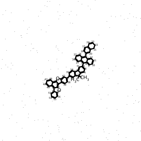 CC1(C)c2ccc(-c3c4ccccc4c(-c4ccc5c(c4)CCC=C5)c4ccccc34)cc2-c2ccc(-c3ccc4c(c3)oc3c5ccccc5c5c6ccccc6oc5c43)cc21